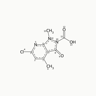 Cc1cc(Cl)nc2c1c(=O)n(C(=O)O)n2C